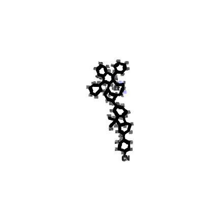 CC/C1=C\C=C/c2cc(ccc2-c2ccc3c(c2)C(C)(C)c2cc(-c4ccc(C#N)cc4)ccc2-3)-c2c1c(-c1ccccc1)c1ccccc1c2-c1ccccc1